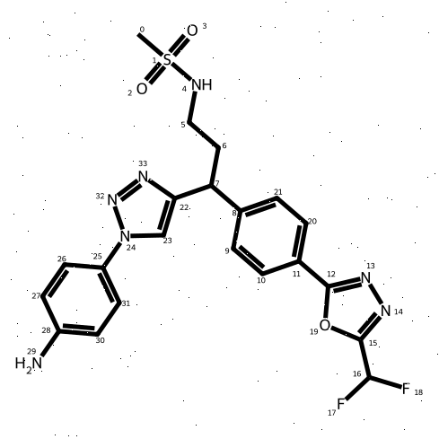 CS(=O)(=O)NCCC(c1ccc(-c2nnc(C(F)F)o2)cc1)c1cn(-c2ccc(N)cc2)nn1